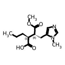 CCC[C@H](C(=O)O)[C@@H](Cc1cncn1C)C(=O)OC